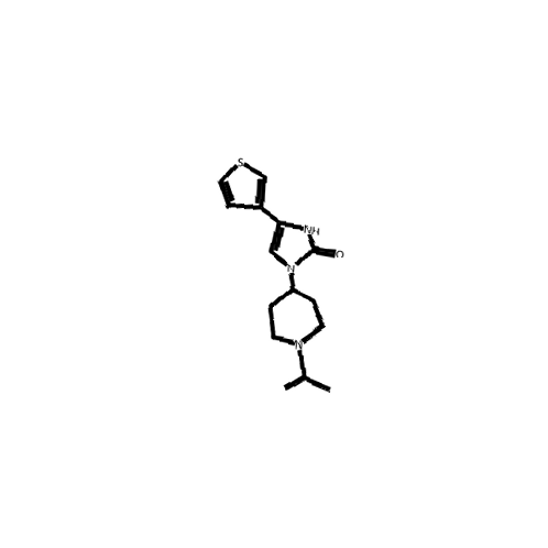 CC(C)N1CCC(n2cc(-c3ccsc3)[nH]c2=O)CC1